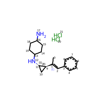 C/C(=C\c1ccccc1)[C@H]1C[C@@H]1NC1CCC(N)CC1.Cl.Cl